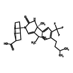 CC(C)CCc1ccc([C@]2(C)NC(=O)N(C34C5C6C3C3C4C5C63C(=O)O)C=C2C(C)C)cc1C(F)(F)F